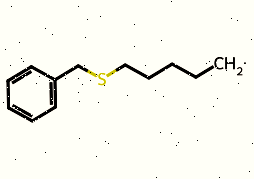 [CH2]CCCCSCc1ccccc1